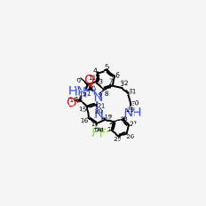 CC(C)c1cccc2c1-n1c(=O)[nH]c(=O)c3cc(F)c(nc31)-c1c(F)cccc1NCCC2